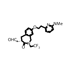 CNc1cccc(CCOc2ccc3c(c2)CN(CC(F)(F)F)C(=O)[C@H](CC=O)C3)n1